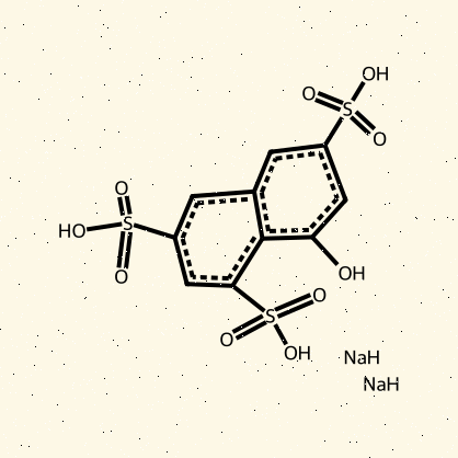 O=S(=O)(O)c1cc(O)c2c(S(=O)(=O)O)cc(S(=O)(=O)O)cc2c1.[NaH].[NaH]